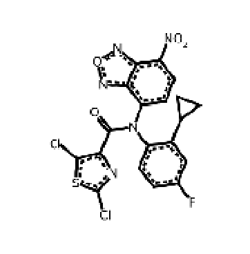 O=C(c1nc(Cl)sc1Cl)N(c1ccc(F)cc1C1CC1)c1ccc([N+](=O)[O-])c2nonc12